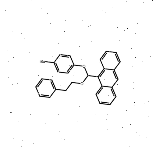 CCC(C)c1ccc(OC(OCCc2ccccc2)c2c3ccccc3cc3ccccc23)cc1